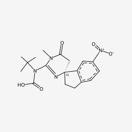 CN1C(=O)C[C@]2(CCc3ccc([N+](=O)[O-])cc32)N=C1N(C(=O)O)C(C)(C)C